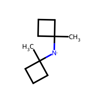 CC1([N]C2(C)CCC2)CCC1